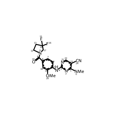 CNc1nc(Nc2ccc(C(=O)N3CCC(F)(F)C3)cc2OC)ncc1C#N